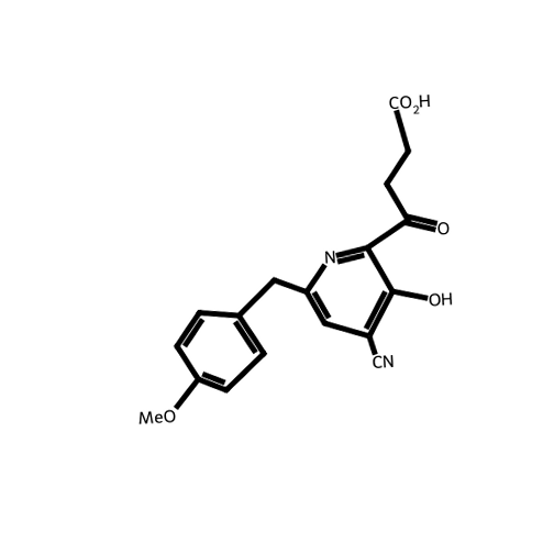 COc1ccc(Cc2cc(C#N)c(O)c(C(=O)CCC(=O)O)n2)cc1